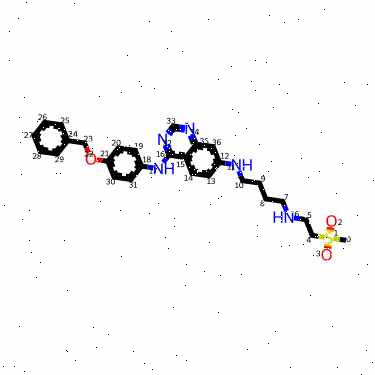 CS(=O)(=O)CCNCCCCNc1ccc2c(Nc3ccc(OCc4ccccc4)cc3)ncnc2c1